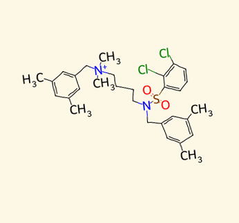 Cc1cc(C)cc(CN(CCCC[N+](C)(C)Cc2cc(C)cc(C)c2)S(=O)(=O)c2cccc(Cl)c2Cl)c1